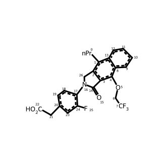 CCCc1c2c(c(OCC(F)(F)F)c3ccccc13)C(=O)N(c1ccc(CC(=O)O)cc1F)C2